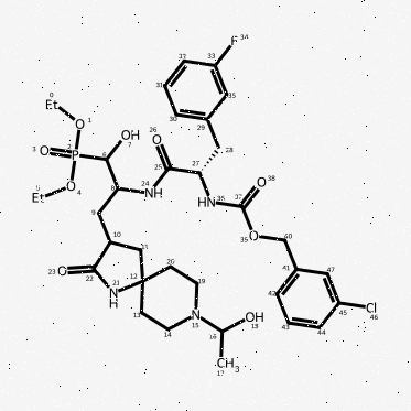 CCOP(=O)(OCC)C(O)C(CC1CC2(CCN(C(C)O)CC2)NC1=O)NC(=O)[C@H](Cc1cccc(F)c1)NC(=O)OCc1cccc(Cl)c1